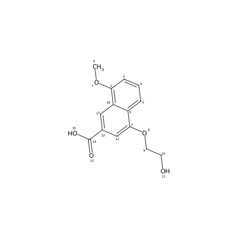 COc1cccc2c(OCCO)cc(C(=O)O)cc12